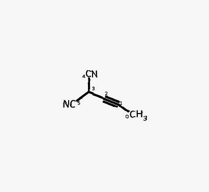 CC#CC(C#N)C#N